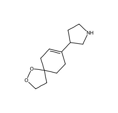 C1=C(C2CCNC2)CCC2(C1)CCOO2